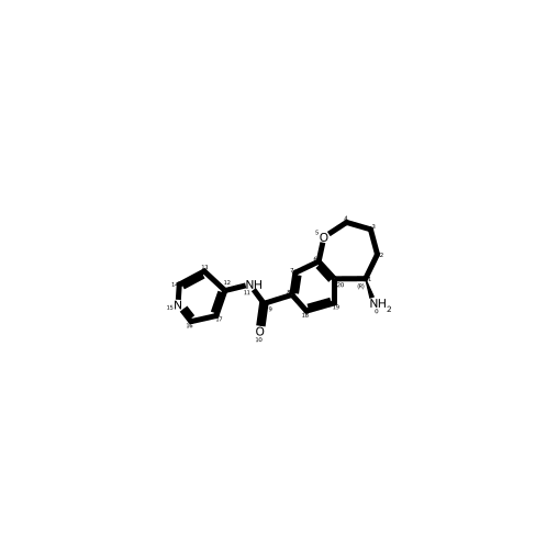 N[C@@H]1CCCOc2cc(C(=O)Nc3ccncc3)ccc21